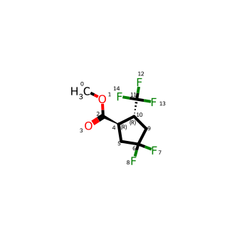 COC(=O)[C@@H]1CC(F)(F)C[C@H]1C(F)(F)F